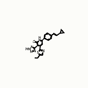 CCc1cnc(-c2cc(-c3ccc(C=CC4CC4)cc3)[nH]c(=O)c2-c2nn[nH]n2)s1